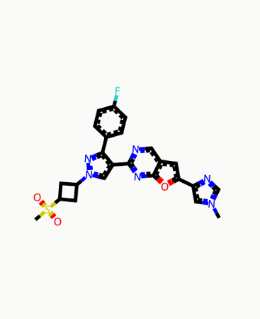 Cn1cnc(-c2cc3cnc(-c4cn(C5CC(S(C)(=O)=O)C5)nc4-c4ccc(F)cc4)nc3o2)c1